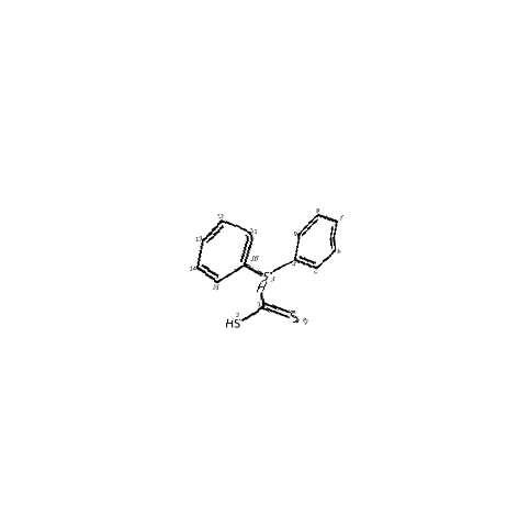 S=C(S)[SH](c1ccccc1)c1ccccc1